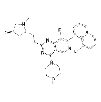 CN1C[C@H](F)C[C@H]1CCc1nc(N2CCNCC2)c2cnc(-c3cccc4cccc(Cl)c34)c(F)c2n1